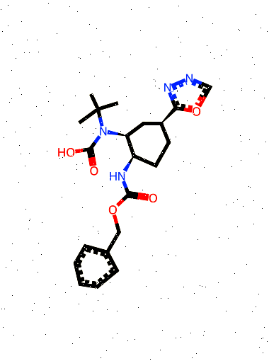 CC(C)(C)N(C(=O)O)[C@H]1C[C@@H](c2nnco2)CC[C@H]1NC(=O)OCc1ccccc1